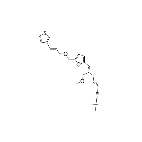 COCC(=Cc1ccc(COCC=Cc2ccsc2)o1)CC=CC#CC(C)(C)C